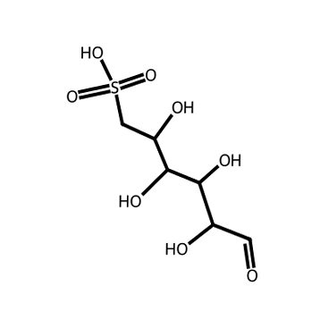 O=CC(O)C(O)C(O)C(O)CS(=O)(=O)O